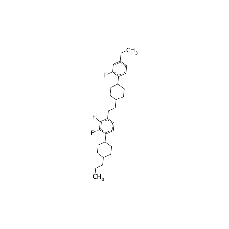 CCCC1CCC(c2ccc(CCC3CCC(c4ccc(CC)cc4F)CC3)c(F)c2F)CC1